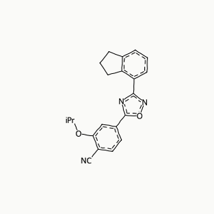 CC(C)Oc1cc(-c2nc(-c3cccc4c3CCC4)no2)ccc1C#N